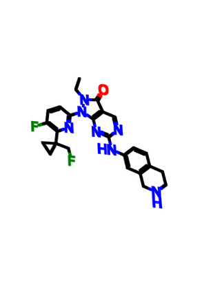 CCn1c(=O)c2cnc(Nc3ccc4c(c3)CNCC4)nc2n1-c1ccc(F)c(C2(CF)CC2)n1